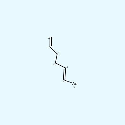 C=CCC/C=C/C(C)=O